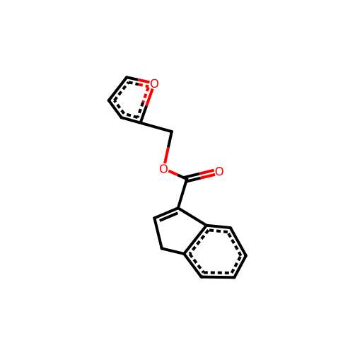 O=C(OCc1ccco1)C1=CCc2ccccc21